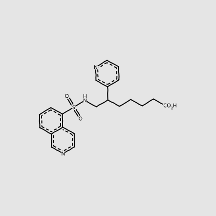 O=C(O)CCCCC(CNS(=O)(=O)c1cccc2cnccc12)c1cccnc1